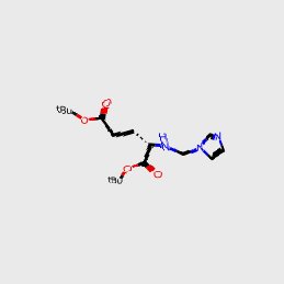 CC(C)(C)OC(=O)CC[C@H](NCn1ccnc1)C(=O)OC(C)(C)C